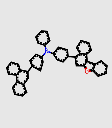 c1ccc(N(c2ccc(-c3cc4ccccc4c4ccccc34)cc2)c2ccc(-c3cc4oc5ccccc5c4c4ccccc34)cc2)cc1